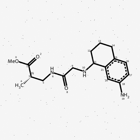 COC(=O)[C@@H](C)CNC(=O)CNC1CCCc2ccc(N)cc21